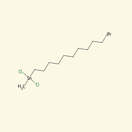 CC(C)CCCCCCCCC[CH2][Sn]([CH3])([Cl])[Cl]